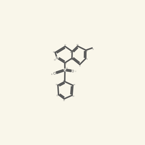 Cc1ccc2c(S(=O)(=O)c3ccccc3)nccc2c1